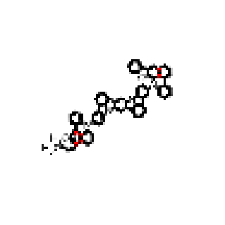 C=C/C=C\c1c(C)oc2c(N(c3ccc4c(c3)c3cccc5c6cc7c(cc6n4c35)c3cccc4c5cc(N(c6ccccc6-c6ccccc6)c6cccc8c6oc6ccccc68)ccc5n7c43)c3ccccc3-c3ccccc3)cccc12